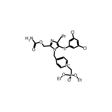 CCOP(=O)(C[n+]1ccc(Cn2c(COC(N)=O)nc(C(C)C)c2Sc2cc(Cl)cc(Cl)c2)cc1)OCC